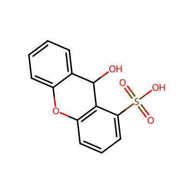 O=S(=O)(O)c1cccc2c1C(O)c1ccccc1O2